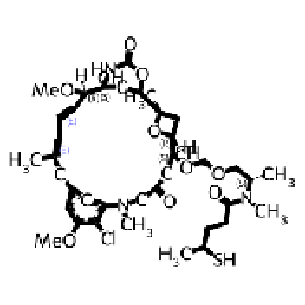 COc1cc2cc(c1Cl)N(C)CC(=O)C[C@H](OCOC[C@H](C)N(C)C(=O)CCC(C)S)[C@@]1(C)CC(C)(O1)C1C[C@@](O)(NC(=O)O1)[C@H](OC)/C=C/C=C(\C)C2